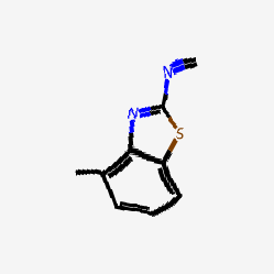 C=Nc1nc2c(C)cccc2s1